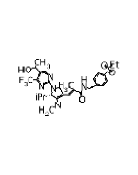 C=NC1=C(/C=C(\C)C(=O)NCc2ccc(S(=O)(=O)CC)cc2)CN(c2ncc([C@H](C)O)c(C(F)(F)F)n2)[C@H]1C(C)C